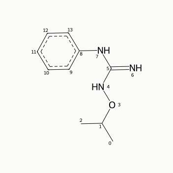 CC(C)ONC(=N)Nc1ccccc1